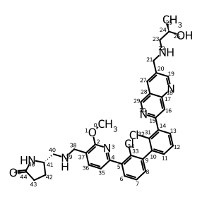 COc1nc(-c2cccc(-c3cccc(-c4cc5ncc(CNC[C@@H](C)O)cc5cn4)c3Cl)c2Cl)ccc1CNC[C@@H]1CCC(=O)N1